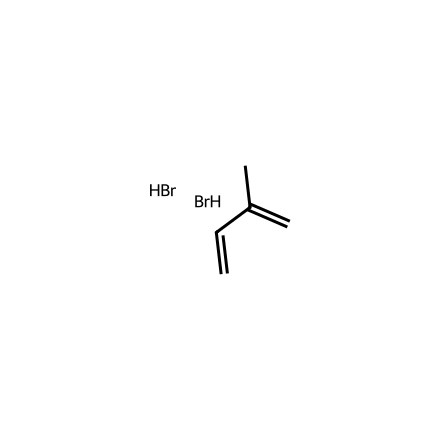 Br.Br.C=CC(=C)C